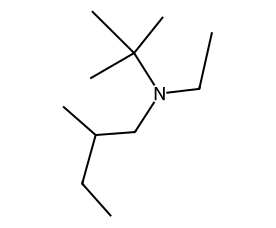 CCC(C)CN(CC)C(C)(C)C